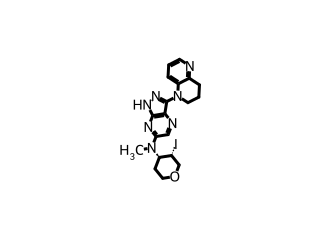 CN(c1cnc2c(N3CCCc4ncccc43)n[nH]c2n1)[C@H]1CCOC[C@H]1I